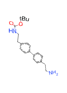 CC(C)(C)OC(=O)NCCc1ccc(-c2ccc(CCN)cc2)cc1